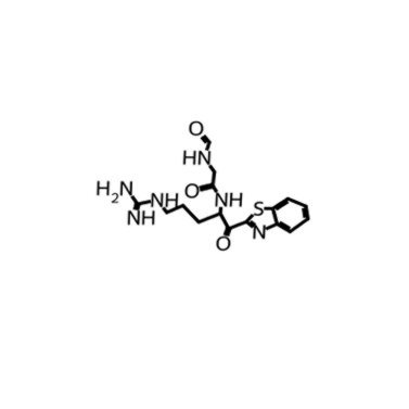 N=C(N)NCCCC(NC(=O)CNC=O)C(=O)c1nc2ccccc2s1